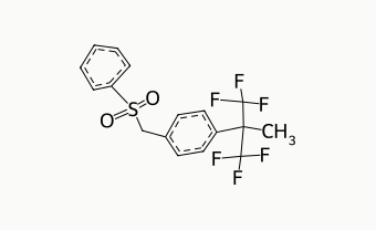 CC(c1ccc(CS(=O)(=O)c2ccccc2)cc1)(C(F)(F)F)C(F)(F)F